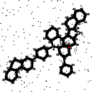 c1ccc(-c2cccc(N(c3ccc(-c4ccc5c(ccc6ccccc65)c4)cc3)c3ccccc3-c3cccc4oc5c6ccccc6ccc5c34)c2)cc1